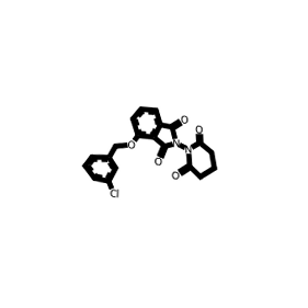 O=C1CCCC(=O)N1N1C(=O)c2cccc(OCc3cccc(Cl)c3)c2C1=O